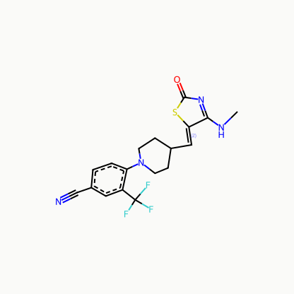 CNC1=NC(=O)S/C1=C\C1CCN(c2ccc(C#N)cc2C(F)(F)F)CC1